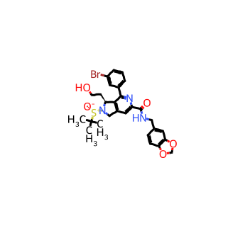 CC(C)(C)[S@+]([O-])N1Cc2cc(C(=O)NCc3ccc4c(c3)OCO4)nc(-c3cccc(Br)c3)c2[C@@H]1CCO